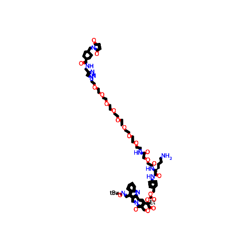 CC[C@@]1(OC(=O)OCc2ccc(NC(=O)[C@H](CCCCN)NC(=O)COCC(=O)NCCOCCOCCOCCOCCOCCOCCOCCOCCn3cc(CNC(=O)C4CCC(CN5C(=O)C=CC5=O)CC4)nn3)cc2)C(=O)OCc2c1cc1n(c2=O)Cc2c-1nc1ccccc1c2/C=N/OC(C)(C)C